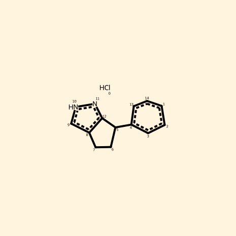 Cl.c1ccc(C2CCc3c[nH]nc32)cc1